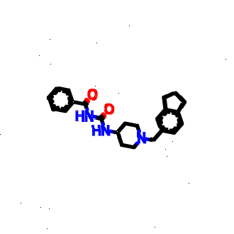 O=C(NC(=O)c1ccccc1)NC1CCN(Cc2ccc3c(c2)CCC3)CC1